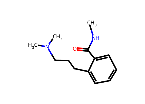 CNC(=O)c1ccccc1CCCN(C)C